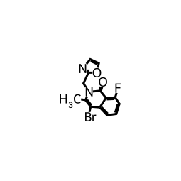 Cc1c(Br)c2cccc(F)c2c(=O)n1Cc1ncco1